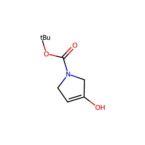 CC(C)(C)OC(=O)N1CC=C(O)C1